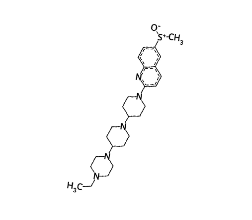 CCN1CCN(C2CCN(C3CCN(c4ccc5cc([S+](C)[O-])ccc5n4)CC3)CC2)CC1